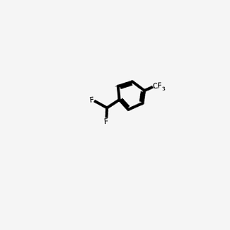 FC(F)c1[c]cc(C(F)(F)F)cc1